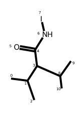 CC(C)C(C(=O)NI)C(C)C